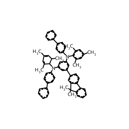 CC1=CC(C)C(N(c2ccc(-c3ccccc3)cc2)c2cc(-c3ccc4c(c3)C(C)(C)c3ccccc3-4)cc(N(c3ccc(-c4ccccc4)cc3)c3c(C)cc(C)cc3C)c2)C(C)=C1